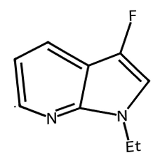 CCn1cc(F)c2cc[c]nc21